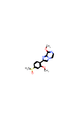 COc1cc([S+](C)[O-])ccc1-c1cn2ccnc(OC)c2n1